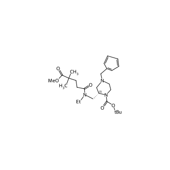 CCN(C[C@@H]1CN(Cc2ccccc2)CCN1C(=O)OC(C)(C)C)C(=O)CCC(C)(C)C(=O)OC